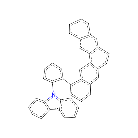 c1ccc(-n2c3ccccc3c3ccccc32)c(-c2cccc3cc4ccc5cc6ccccc6cc5c4cc23)c1